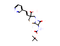 CC(C)(C)OC(=O)NC1C(=O)N2CC(C=Cc3cccnc3)(C(=O)O)CS[C@H]12